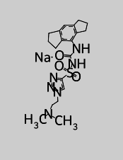 CN(C)CCn1cc(S(=O)(=O)NC(=O)Nc2c3c(cc4c2CCC4)CCC3)nn1.[Na]